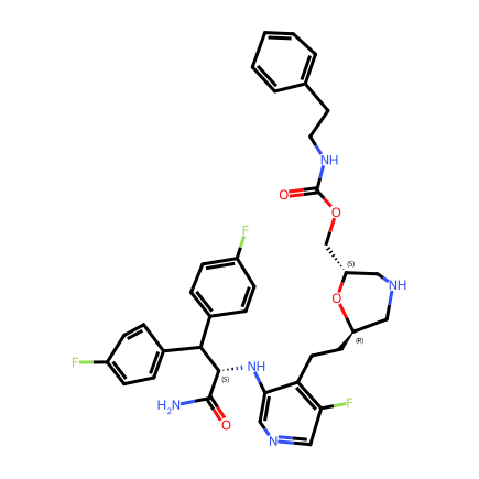 NC(=O)[C@@H](Nc1cncc(F)c1CC[C@@H]1CNC[C@@H](COC(=O)NCCc2ccccc2)O1)C(c1ccc(F)cc1)c1ccc(F)cc1